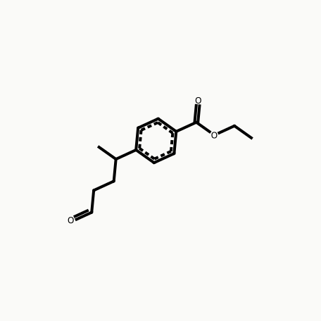 CCOC(=O)c1ccc(C(C)CCC=O)cc1